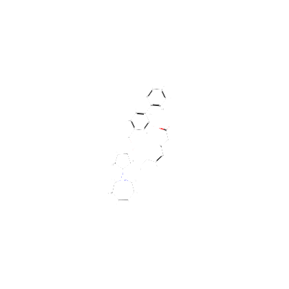 O=C(O)CC/C=C\CC[C@H]1[C@@H](OCc2ccc(-c3ccccc3)cc2)CC[C@@H]1N1CCCCCC1